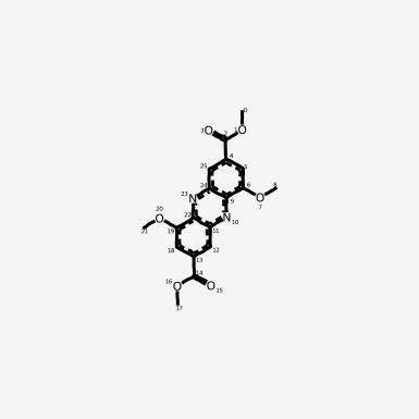 COC(=O)c1cc(OC)c2nc3cc(C(=O)OC)cc(OC)c3nc2c1